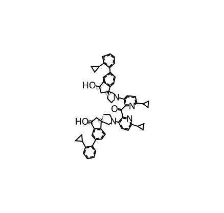 O=C(c1nc(C2CC2)ccc1N1CC[C@]2(C[C@@H](O)c3cc(-c4ccccc4C4CC4)ccc32)C1)c1nc(C2CC2)ccc1N1CC[C@]2(C[C@@H](O)c3cc(-c4ccccc4C4CC4)ccc32)C1